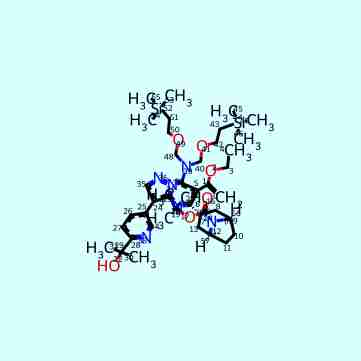 C=C(OCC)c1c([C@@H]2C[C@H]3CC[C@@H](C2)N3C(=O)OC(C)(C)C)nc2c(-c3ccc(C(C)(C)O)nc3)cnn2c1N(COCC[Si](C)(C)C)COCC[Si](C)(C)C